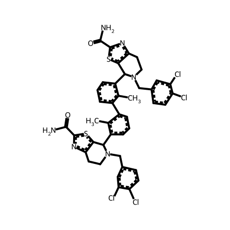 Cc1c(-c2cccc(C3c4sc(C(N)=O)nc4CCN3Cc3ccc(Cl)c(Cl)c3)c2C)cccc1C1c2sc(C(N)=O)nc2CCN1Cc1ccc(Cl)c(Cl)c1